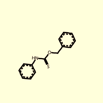 S=C(Nc1ccccc1)OCc1ccccc1